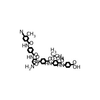 Cc1cc(C(=O)Nc2ccc(C(=O)NC(CC(N)=O)C(=O)Nc3ccc(C(=O)Nc4ccc(C(=O)Nc5ccc(C(=O)O)cc5)c(O)c4OC(C)C)cc3)cc2)ccc1C#N